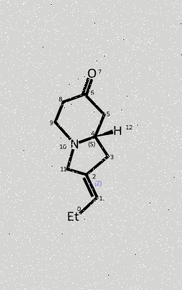 CC/C=C1/C[C@H]2CC(=O)CCN2C1